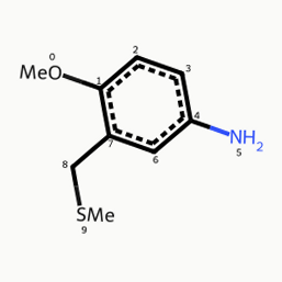 COc1ccc(N)cc1CSC